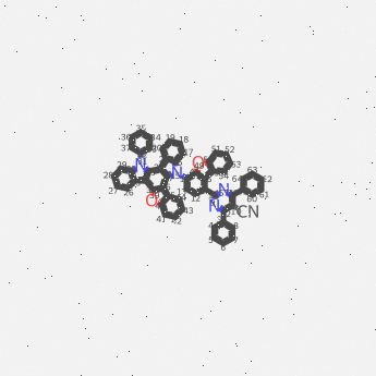 N#Cc1c(-c2ccccc2)nc(-c2ccc(-n3c4ccccc4c4c5c(c6ccccc6n5-c5ccccc5)c5oc6ccccc6c5c43)c3oc4ccccc4c23)nc1-c1ccccc1